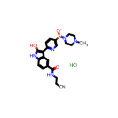 CN1CCN([S+]([O-])c2ccc(-c3c(O)[nH]c4ccc(C(=O)NCCC#N)cc34)nc2)CC1.Cl